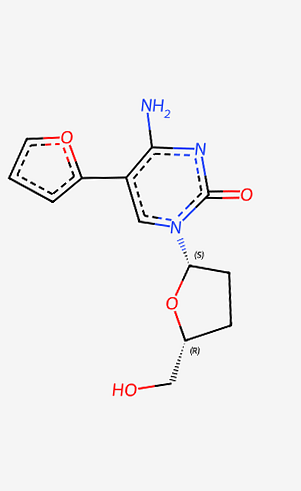 Nc1nc(=O)n([C@@H]2CC[C@H](CO)O2)cc1-c1ccco1